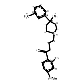 CNc1ccc(C(=O)CCCN2CCC(O)(c3cccc(C(F)(F)F)c3)CC2)c(F)c1